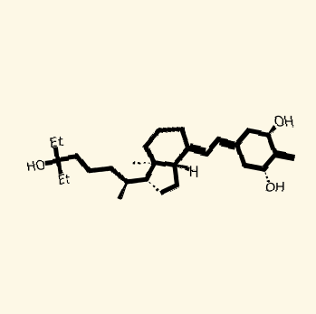 C=C1[C@H](O)CC(=C/C=C2\CCC[C@]3(C)[C@@H]([C@@H](C)CCCC(O)(CC)CC)CC[C@@H]23)C[C@H]1O